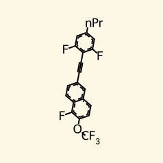 CCCc1cc(F)c(C#Cc2ccc3c(F)c(OC(F)(F)F)ccc3c2)c(F)c1